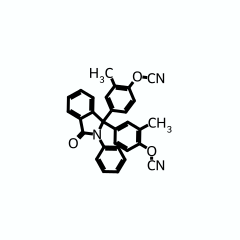 Cc1cc(C2(c3ccc(OC#N)c(C)c3)c3ccccc3C(=O)N2c2ccccc2)ccc1OC#N